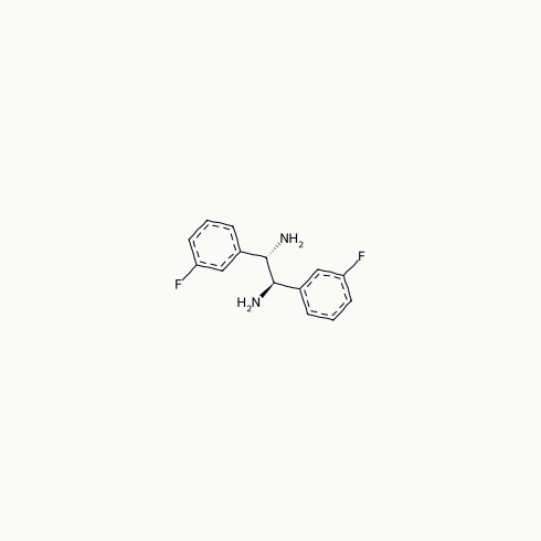 N[C@H](c1cccc(F)c1)[C@@H](N)c1cccc(F)c1